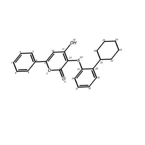 O=c1oc(-c2ccccc2)cc(O)c1Sc1ccccc1C1CCCCC1